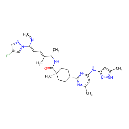 C=N/C(=C\C=C(/C)[C@H](C)NC(=O)[C@]1(C)CC[C@@H](c2nc(C)cc(Nc3cc(C)[nH]n3)n2)CC1)n1cc(F)cn1